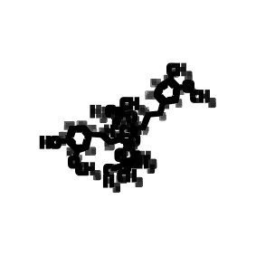 COc1cc(CCC[Si](C)(O[Si](C)(C)C)O[Si](C)(CCCc2ccc(O)c(OC)c2)O[Si](C)(C)C)ccc1C